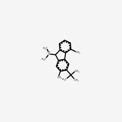 Cc1cc2c(cc1C(C)(C)C)-c1c(C)cccc1C2[SiH](C)C